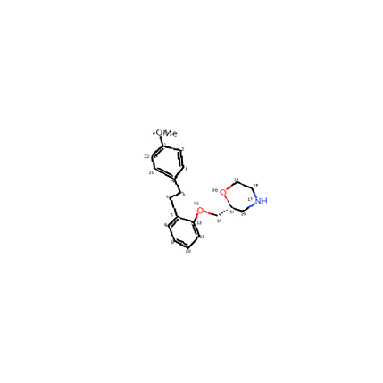 COc1ccc(CCc2ccccc2OC[C@H]2CNCCO2)cc1